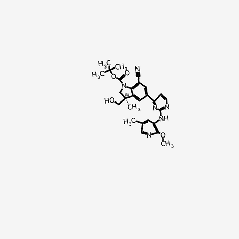 COc1ncc(C)cc1Nc1nccc(-c2cc(C#N)c3c(c2)[C@@](C)(CO)CN3C(=O)OC(C)(C)C)n1